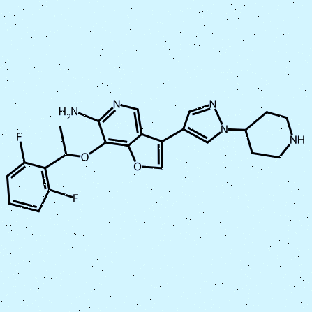 CC(Oc1c(N)ncc2c(-c3cnn(C4CCNCC4)c3)coc12)c1c(F)cccc1F